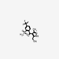 Cc1n[nH]c(CO)c1C(=O)c1ccc(C(F)(F)F)cc1S(C)(=O)=O